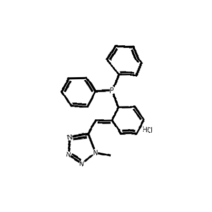 Cl.Cn1nnnc1C=C1C=CC=CC1P(c1ccccc1)c1ccccc1